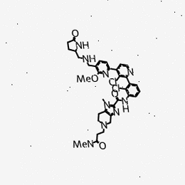 CNC(=O)CCN1CCc2c(nc(C(=O)Nc3cccc(-c4nccc(-c5ccc(CNCC6CCC(=O)N6)c(OC)n5)c4Cl)c3Cl)n2C)C1